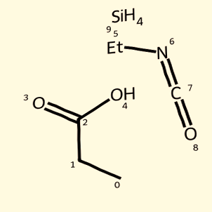 CCC(=O)O.CCN=C=O.[SiH4]